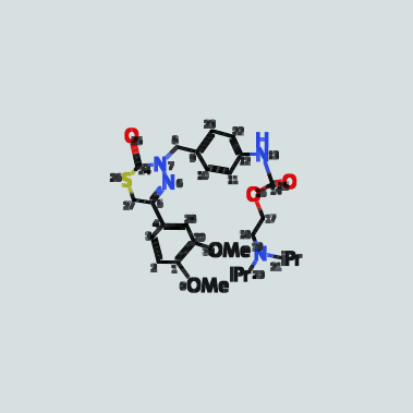 COc1ccc(C2=NN(Cc3ccc(NC(=O)OCCN(C(C)C)C(C)C)cc3)C(=O)SC2)cc1OC